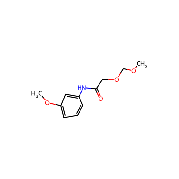 COCOCC(=O)Nc1cccc(OC)c1